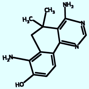 CC1(C)Cc2c(ccc(O)c2N)-c2ncnc(N)c21